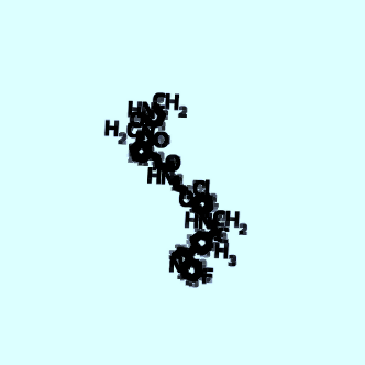 C=C1CCC(N2C(=C)c3cccc(CCC(=O)NCCCOc4cc(NC(=C)C(C)C5CCC(c6ccnc7c6C=C(F)CC7)CC5)ccc4Cl)c3C2=O)C(=O)N1